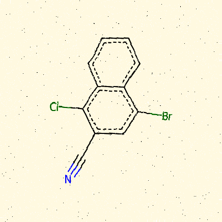 N#Cc1cc(Br)c2ccccc2c1Cl